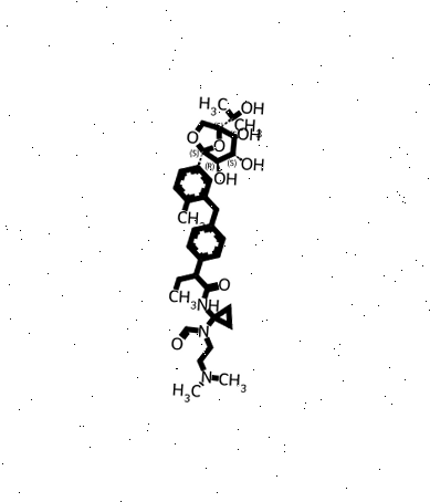 CCC(C(=O)NC1(N(C=O)CCN(C)C)CC1)c1ccc(Cc2cc([C@]34OC[C@](C(C)(C)O)(O3)[C@@H](O)[C@H](O)[C@H]4O)ccc2C)cc1